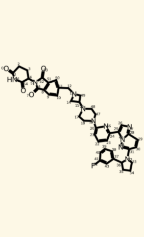 O=C1CCC(N2C(=O)c3ccc(CN4CC(N5CCN(c6cccc(-c7cnc8ccc(N9CCCC9c9cccc(F)c9)nn78)n6)CC5)C4)cc3C2=O)C(=O)N1